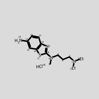 CCN(CC)CCCN(C)c1nc2ccc(N)cc2s1.Cl